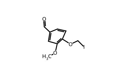 COc1cc(C=O)ccc1OCI